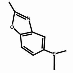 CB(C)c1ccc2oc(C)nc2c1